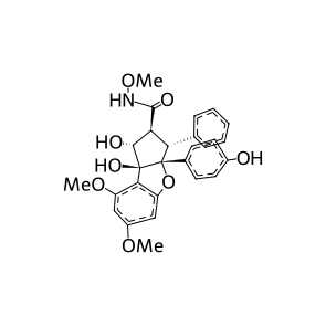 CONC(=O)[C@@H]1[C@@H](O)[C@@]2(O)c3c(OC)cc(OC)cc3O[C@@]2(c2ccc(O)cc2)[C@H]1c1ccccc1